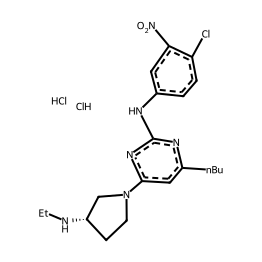 CCCCc1cc(N2CC[C@H](NCC)C2)nc(Nc2ccc(Cl)c([N+](=O)[O-])c2)n1.Cl.Cl